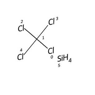 ClC(Cl)(Cl)Cl.[SiH4]